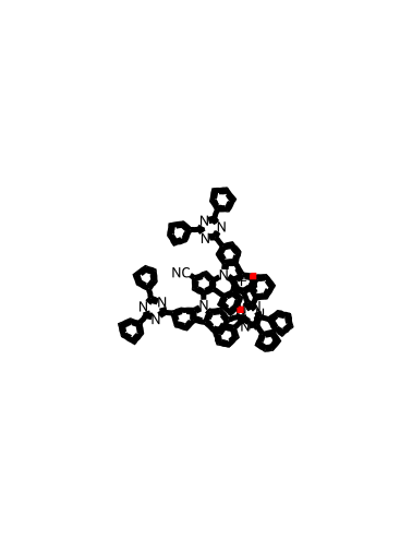 N#Cc1cc(-n2c3cc(-c4nc(-c5ccccc5)nc(-c5ccccc5)n4)ccc3c3ccc(-c4nc(-c5ccccc5)nc(-c5ccccc5)n4)cc32)c(-c2ccccc2C(F)(F)F)c(-n2c3cc(-c4nc(-c5ccccc5)nc(-c5ccccc5)n4)ccc3c3ccc(-c4nc(-c5ccccc5)nc(-c5ccccc5)n4)cc32)c1